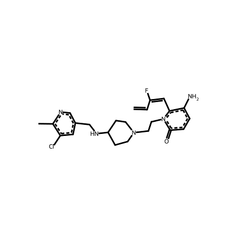 C=C/C(F)=C\c1c(N)ccc(=O)n1CCN1CCC(NCc2cnc(C)c(Cl)c2)CC1